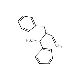 C=CN(Cc1ccccc1)[C@@H](C)c1ccccc1